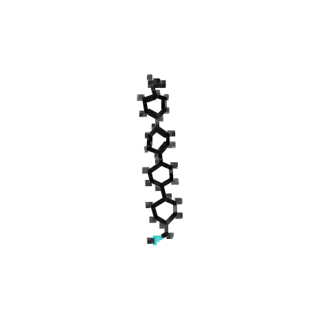 CCCCc1ccc(-c2ccc(C3CCC(C4CCC(CF)CC4)CC3)cc2)cc1